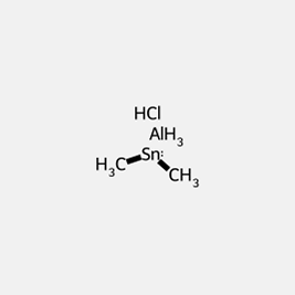 Cl.[AlH3].[CH3][Sn][CH3]